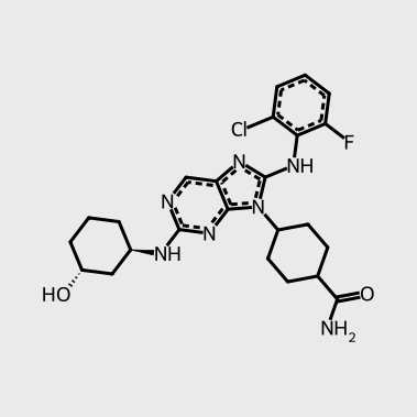 NC(=O)C1CCC(n2c(Nc3c(F)cccc3Cl)nc3cnc(N[C@@H]4CCC[C@@H](O)C4)nc32)CC1